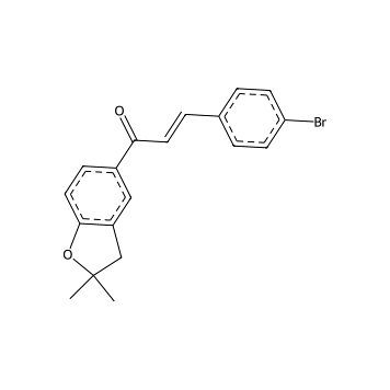 CC1(C)Cc2cc(C(=O)C=Cc3ccc(Br)cc3)ccc2O1